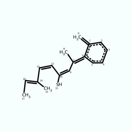 C=c1cccc\c1=C(C)/C=C(S)\C=C/C(C)=C/C